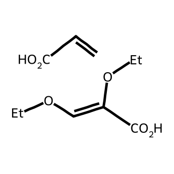 C=CC(=O)O.CCOC=C(OCC)C(=O)O